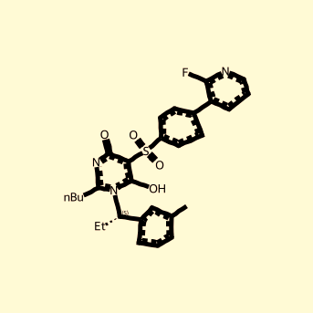 CCCCc1nc(=O)c(S(=O)(=O)c2ccc(-c3cccnc3F)cc2)c(O)n1[C@@H](CC)c1cccc(C)c1